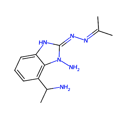 CC(C)=NN=c1[nH]c2cccc(C(C)N)c2n1N